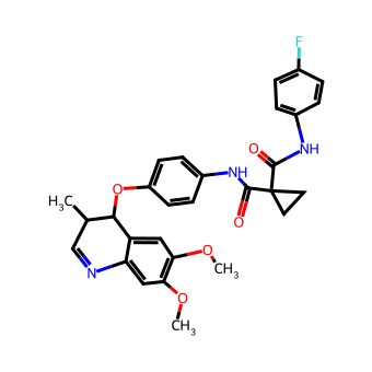 COc1cc2c(cc1OC)C(Oc1ccc(NC(=O)C3(C(=O)Nc4ccc(F)cc4)CC3)cc1)C(C)C=N2